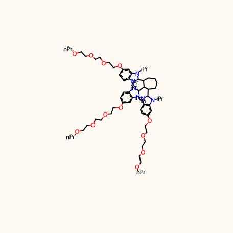 CCCOCCOCCOCCOc1ccc2c(c1)N(C(C)C)C(C1CCCCC(C3N(C(C)C)c4ccc(OCCOCCOCCOCCC)cc4N3C(C)C)C1C1N(C(C)C)c3ccc(OCCOCCOCCOCCC)cc3N1C(C)C)N2C(C)C